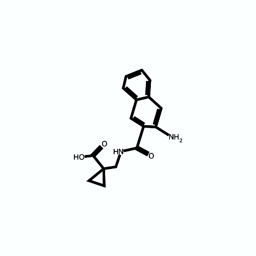 Nc1cc2ccccc2cc1C(=O)NCC1(C(=O)O)CC1